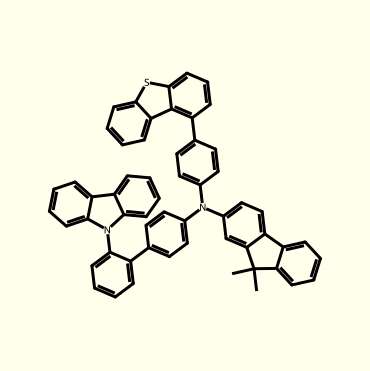 CC1(C)c2ccccc2-c2ccc(N(c3ccc(-c4ccccc4-n4c5ccccc5c5ccccc54)cc3)c3ccc(-c4cccc5sc6ccccc6c45)cc3)cc21